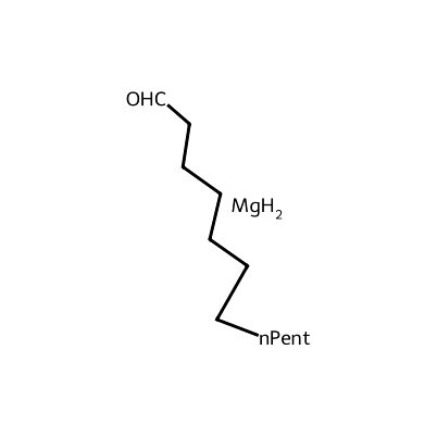 CCCCCCCCCCCC=O.[MgH2]